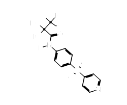 CC(O)(C(=O)N(F)c1ccc(S(=O)(=O)c2ccncc2)cc1)C(F)(F)F